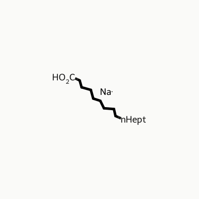 CCCCCCCCCCCCCCCC(=O)O.[Na]